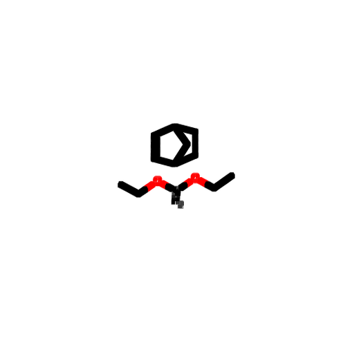 C1=CC2CCC1C2.CCO[SiH2]OCC